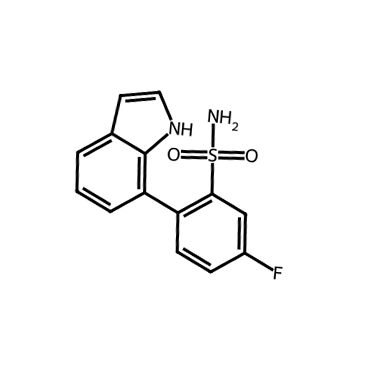 NS(=O)(=O)c1cc(F)ccc1-c1cccc2cc[nH]c12